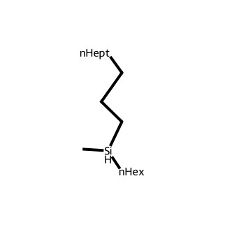 CCCCCCCCCC[SiH](C)CCCCCC